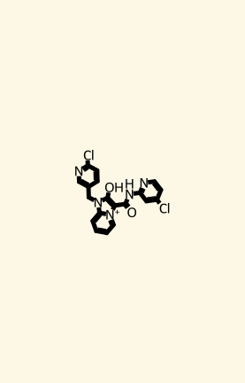 O=C(Nc1cc(Cl)ccn1)c1c(O)n(Cc2ccc(Cl)nc2)c2cccc[n+]12